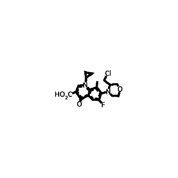 Cc1c(N2CCOCC2CCl)c(F)cc2c(=O)c(C(=O)O)cn(C3CC3)c12